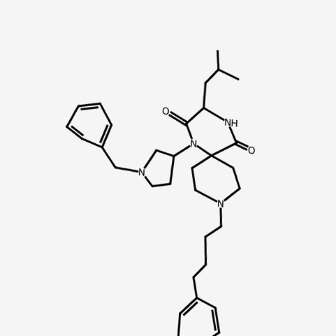 CC(C)CC1NC(=O)C2(CCN(CCCCc3ccccc3)CC2)N(C2CCN(Cc3ccccc3)C2)C1=O